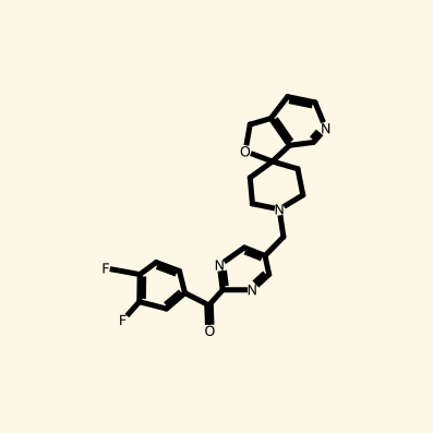 O=C(c1ccc(F)c(F)c1)c1ncc(CN2CCC3(CC2)OCc2ccncc23)cn1